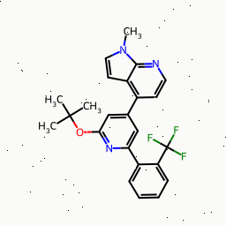 Cn1ccc2c(-c3cc(OC(C)(C)C)nc(-c4ccccc4C(F)(F)F)c3)ccnc21